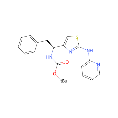 CC(C)(C)OC(=O)N[C@@H](Cc1ccccc1)c1csc(Nc2ccccn2)n1